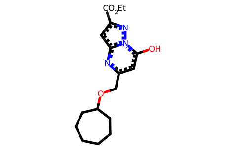 CCOC(=O)c1cc2nc(COC3CCCCCC3)cc(O)n2n1